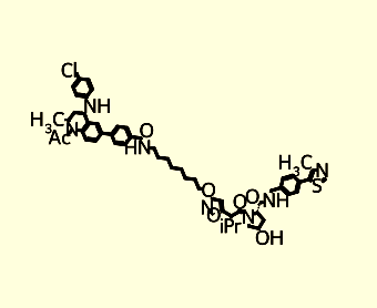 CC(=O)N1c2ccc(-c3ccc(C(=O)NCCCCCCCCOc4cc([C@@H](C(=O)N5C[C@H](O)C[C@H]5C(=O)NCc5ccc(-c6scnc6C)cc5)C(C)C)on4)cc3)cc2[C@H](Nc2ccc(Cl)cc2)C[C@@H]1C